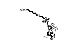 CCCCCCCCCCCCCCCCOCCCOP(=O)(O)OC[C@H]1O[C@@H](n2cc(C#N)c3c(N)ncnc32)[C@](C)(O)[C@@H]1O